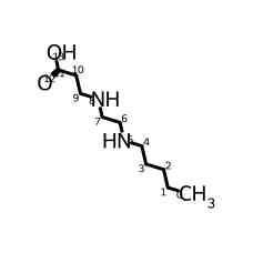 CCCCCNCCNCCC(=O)O